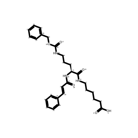 O=C(O)CCCCCNC(=O)[C@H](CCCNC(=O)OCc1ccccc1)NC(=O)C=Cc1ccccc1